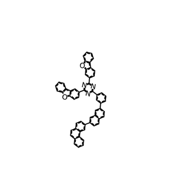 c1cc(-c2ccc3ccc(-c4ccc5ccc6ccccc6c5c4)cc3c2)cc(-c2nc(-c3ccc4c(c3)oc3ccccc34)nc(-c3ccc4oc5ccccc5c4c3)n2)c1